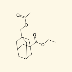 CCOC(=O)C12CC3CC(CC(COC(C)=O)(C3)C1)C2